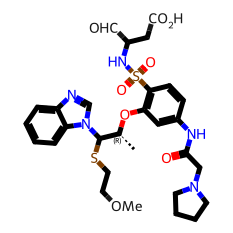 COCCSC([C@@H](C)Oc1cc(NC(=O)CN2CCCC2)ccc1S(=O)(=O)NC(C=O)CC(=O)O)n1cnc2ccccc21